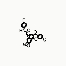 COc1ccc(C(=O)c2cn(CC(=O)Nc3ccc(F)cc3)c3cc4c(cc3c2=O)OCO4)cc1